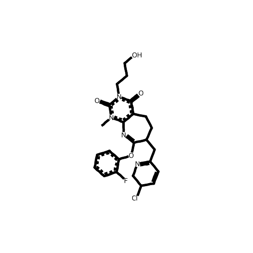 Cn1c2c(c(=O)n(CCCO)c1=O)CCC(CC1=NCC(Cl)C=C1)C(Oc1ccccc1F)=N2